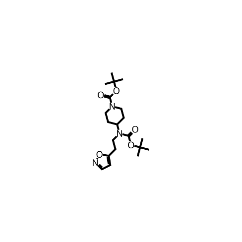 CC(C)(C)OC(=O)N1CCC(N(CCc2ccno2)C(=O)OC(C)(C)C)CC1